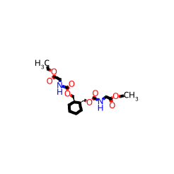 CCOC(=O)CNC(=O)OC[C@@H]1CCCC[C@H]1COC(=O)NCC(=O)OCC